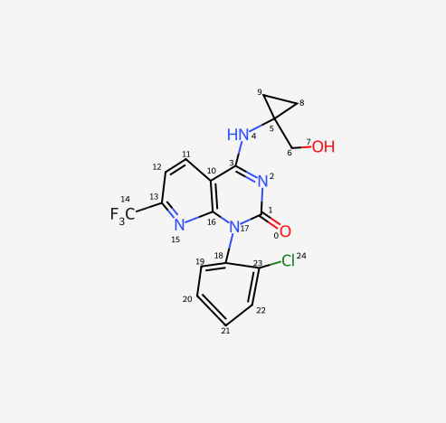 O=c1nc(NC2(CO)CC2)c2ccc(C(F)(F)F)nc2n1-c1ccccc1Cl